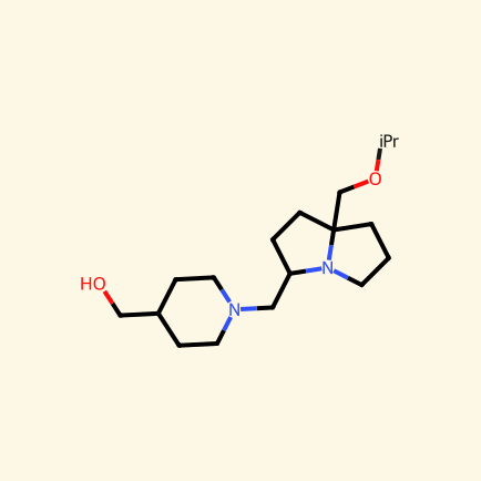 CC(C)OCC12CCCN1C(CN1CCC(CO)CC1)CC2